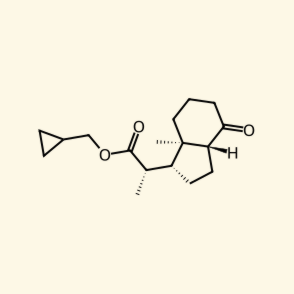 C[C@H](C(=O)OCC1CC1)[C@H]1CC[C@H]2C(=O)CCC[C@]12C